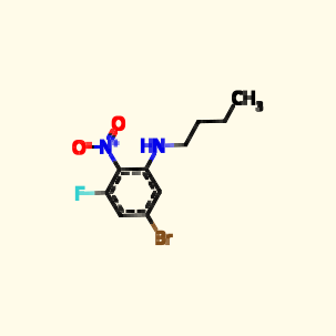 CCCCNc1cc(Br)cc(F)c1[N+](=O)[O-]